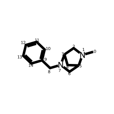 CN1CC2CC1CN2Cc1ccccc1